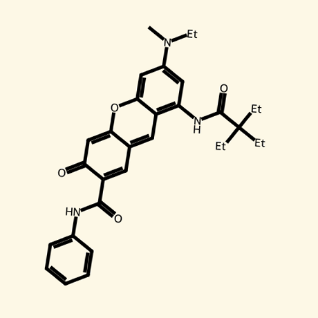 CCN(C)c1cc(NC(=O)C(CC)(CC)CC)c2cc3cc(C(=O)Nc4ccccc4)c(=O)cc-3oc2c1